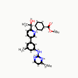 CCCCOC(=O)[C@H]1CC[C@H](C(C)(O)c2ccc(-c3cc(C)cc(Nc4nccc(OC)n4)c3)cn2)CC1